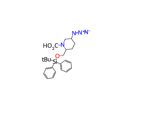 CC(C)(C)[Si](OCC1CCC(N=[N+]=[N-])CN1C(=O)O)(c1ccccc1)c1ccccc1